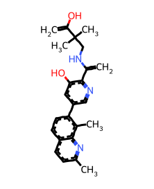 C=C(NCC(C)(C)C(=C)O)c1ncc(-c2ccc3ccc(C)nc3c2C)cc1O